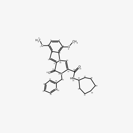 COc1ccc(OC)c2c1cc1c(=O)n(Cc3ccccn3)c(C(=O)NC3CCCCCC3)cn12